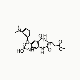 COC(=O)CC[C@@H]1NC(=O)c2cc(Oc3cccc(N(C)C)c3)c(NC(=O)O)cc2NC1=O